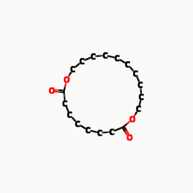 O=C1CCCCCCC(=O)OCCCCCCCCCCO1